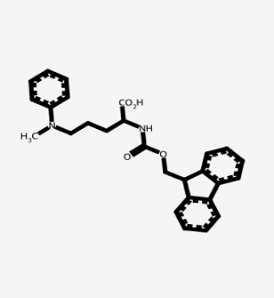 CN(CCCC(NC(=O)OCC1c2ccccc2-c2ccccc21)C(=O)O)c1ccccc1